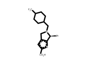 CC(C)[C@H]1c2sc(C(=O)O)cc2CN1CC1CCC(C(F)(F)F)CC1